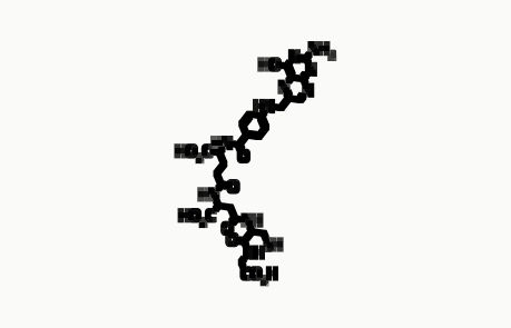 Nc1nc(O)c2nc(CNc3ccc(C(=O)NC(CCC(=O)NC(CC(=O)NC(CS)C(=O)NCC(=O)O)C(=O)O)C(=O)O)cc3)cnc2n1